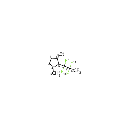 [CH2]CC1C[CH]C(C)C1C(F)(F)C(F)(F)C(F)(F)F